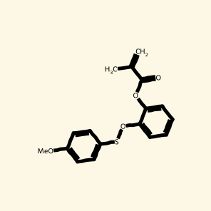 C=C(C)C(=O)Oc1ccccc1OSc1ccc(OC)cc1